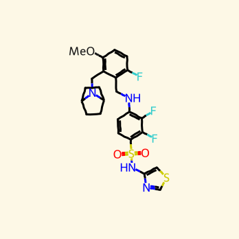 COc1ccc(F)c(CNc2ccc(S(=O)(=O)Nc3cscn3)c(F)c2F)c1CN1C2CCC1CC2